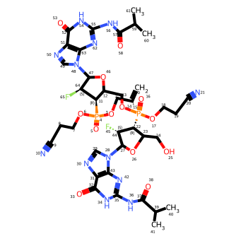 C=CCOP(=O)(OCCC#N)[C@@H]1C(COP(=O)(OCCC#N)[C@@H]2C(CO)OC(n3cnc4c(=O)[nH]c(NC(=O)C(C)C)nc43)[C@@H]2F)OC(n2cnc3c(=O)[nH]c(NC(=O)C(C)C)nc32)[C@@H]1F